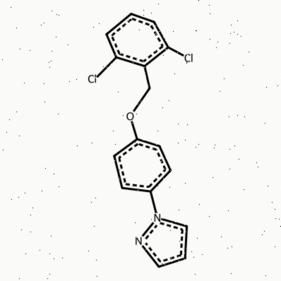 Clc1cccc(Cl)c1COc1ccc(-n2cccn2)cc1